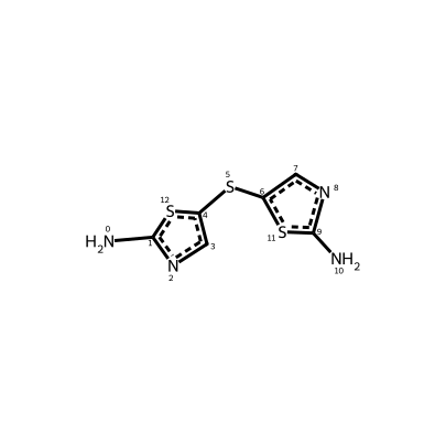 Nc1ncc(Sc2cnc(N)s2)s1